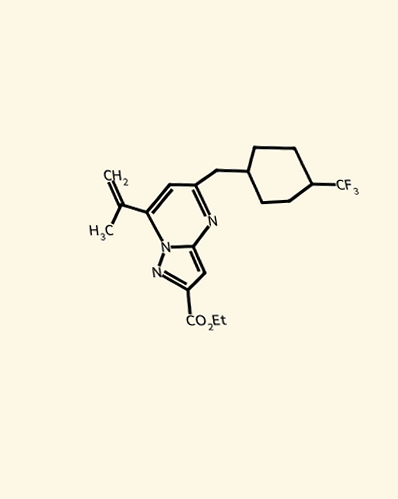 C=C(C)c1cc(CC2CCC(C(F)(F)F)CC2)nc2cc(C(=O)OCC)nn12